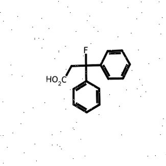 O=C(O)CC(F)(c1ccccc1)c1ccccc1